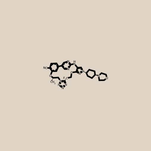 C[C@@H](Cn1cnnn1)Oc1cc(-c2cnc(Nc3cn([C@H]4CC[C@H](N5CCOCC5)CC4)nc3OCC(F)(F)F)nc2)ccc1C#N